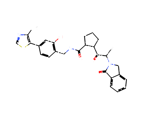 Cc1ncsc1-c1ccc(CNC(=O)C2CCCC2C(=O)C(C(C)C)N2Cc3ccccc3C2=O)c(O)c1